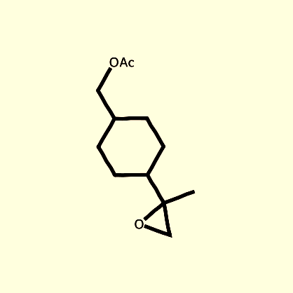 CC(=O)OCC1CCC(C2(C)CO2)CC1